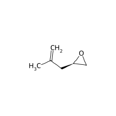 C=C(C)C[C@@H]1CO1